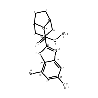 CC(C)(C)OC(=O)N1C2CCC1CN(c1nc3cc(C(F)(F)F)cc(Br)c3o1)C2